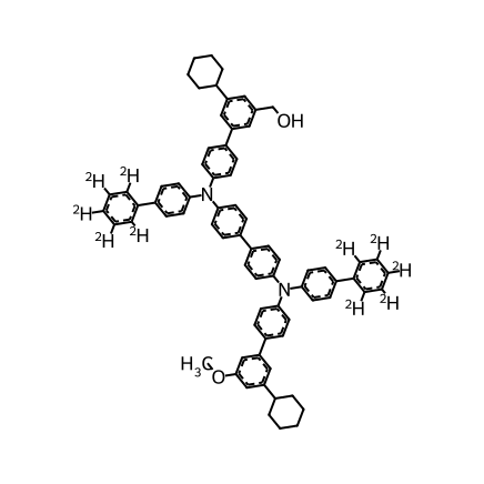 [2H]c1c([2H])c([2H])c(-c2ccc(N(c3ccc(-c4ccc(N(c5ccc(-c6cc(OC)cc(C7CCCCC7)c6)cc5)c5ccc(-c6c([2H])c([2H])c([2H])c([2H])c6[2H])cc5)cc4)cc3)c3ccc(-c4cc(CO)cc(C5CCCCC5)c4)cc3)cc2)c([2H])c1[2H]